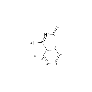 C=C/N=C(/I)c1ccccc1C